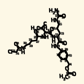 CC(=O)OCc1ccc(NC(=O)[C@H](CCCNC(N)=O)NC(=O)C(NC(=O)CCCCNC(=O)CCl)C(C)C)cc1